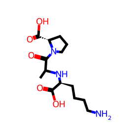 CC(N[C@@H](CCCCN)C(=O)O)C(=O)N1CCC[C@H]1C(=O)O